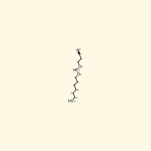 N#CCCOPOCCCCCCS